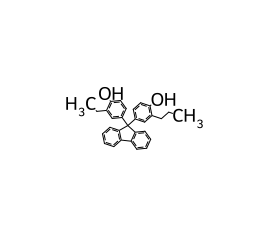 CCCc1cc(C2(c3ccc(O)c(CC)c3)c3ccccc3-c3ccccc32)ccc1O